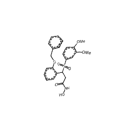 COc1ccc(S(=O)(=O)C(CC(=O)NO)c2ccccc2OCc2ccccc2)cc1OC